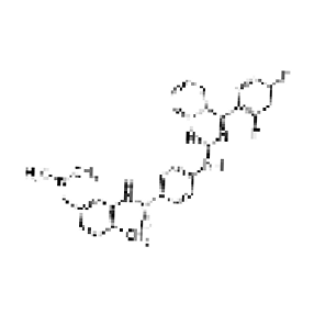 Cc1ccc(CN(C)C)cc1NC(=O)c1ccc(Nc2nc(C3=C(F)CC(F)C=C3)c3ccccc3n2)cc1